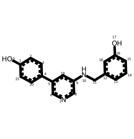 Oc1ccc(-c2cncc(NCc3cccc(O)c3)c2)cc1